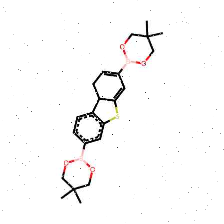 CC1(C)COB(C2=CCC3C(=C2)Sc2cc(B4OCC(C)(C)CO4)ccc23)OC1